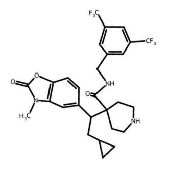 Cn1c(=O)oc2ccc(C(CC3CC3)C3(C(=O)NCc4cc(C(F)(F)F)cc(C(F)(F)F)c4)CCNCC3)cc21